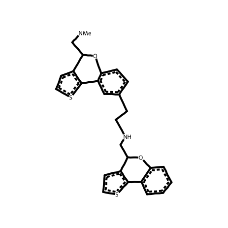 CNCC1Oc2ccc(CCNCC3Oc4ccccc4-c4sccc43)cc2-c2sccc21